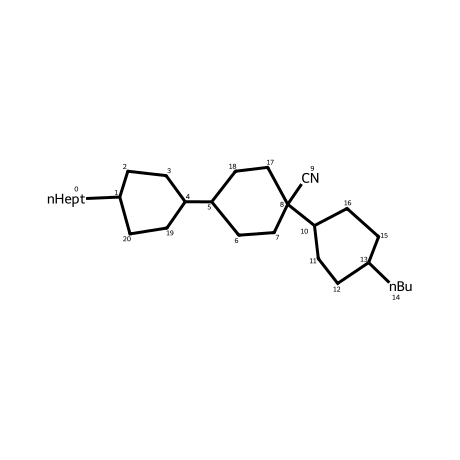 CCCCCCCC1CCC(C2CCC(C#N)(C3CCC(CCCC)CC3)CC2)CC1